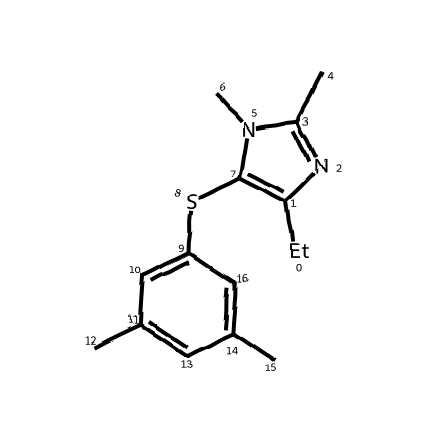 CCc1nc(C)n(C)c1Sc1cc(C)cc(C)c1